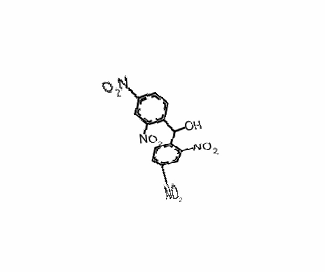 O=[N+]([O-])c1ccc(C(O)c2ccc([N+](=O)[O-])cc2[N+](=O)[O-])c([N+](=O)[O-])c1